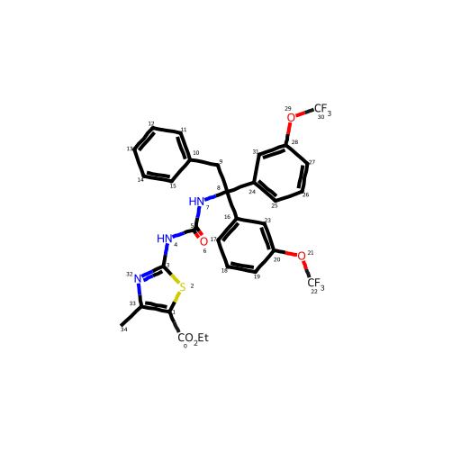 CCOC(=O)c1sc(NC(=O)NC(Cc2ccccc2)(c2cccc(OC(F)(F)F)c2)c2cccc(OC(F)(F)F)c2)nc1C